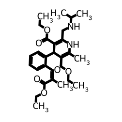 CCOC(=O)C(C)=Cc1ccccc1C1C(C(=O)OCC)=C(C)NC(CNC(C)C)=C1C(=O)OCC